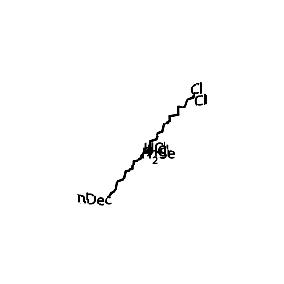 CCCCCCCCCCCCCCCCCCCCCCCCCCCCCCCC(Cl)Cl.Cl.Cl.[SeH2]